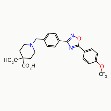 O=C(O)C1(C(=O)O)CCN(Cc2ccc(-c3noc(-c4ccc(OC(F)(F)F)cc4)n3)cc2)CC1